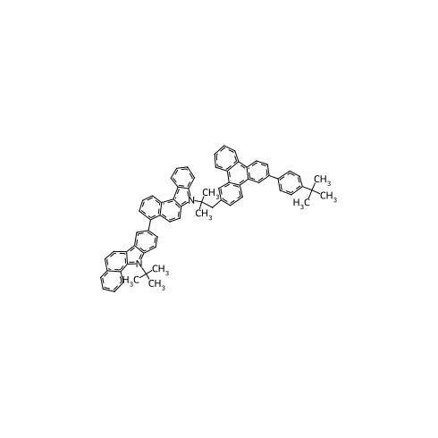 CC(C)(C)c1ccc(-c2ccc3c4ccccc4c4cc(CC(C)(C)n5c6ccccc6c6c7cccc(-c8ccc9c(c8)c8ccc%10ccccc%10c8n9C(C)(C)C)c7ccc65)ccc4c3c2)cc1